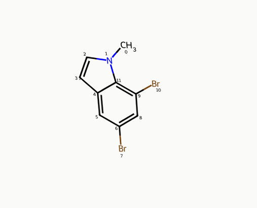 Cn1c[c]c2cc(Br)cc(Br)c21